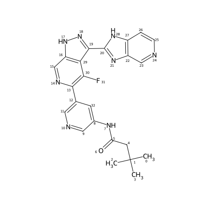 CC(C)(C)CC(=O)Nc1cncc(-c2ncc3[nH]nc(-c4nc5cnccc5[nH]4)c3c2F)c1